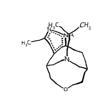 Cc1n[nH]c2c1C1COCC(C2)CN(C(C)C)C1